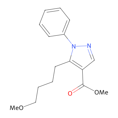 COCCCCc1c(C(=O)OC)cnn1-c1ccccc1